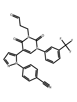 N#Cc1ccc(-n2nccc2-c2cn(-c3cccc(C(F)(F)F)c3)c(=O)n(CCC=O)c2=O)cc1